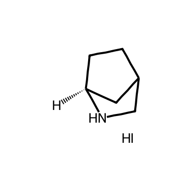 C1C[C@H]2CC1CN2.I